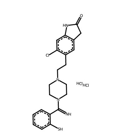 Cl.Cl.N=C(c1ccccc1S)N1CCN(CCc2cc3c(cc2Cl)NC(=O)C3)CC1